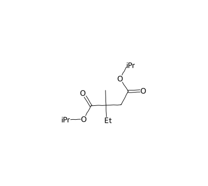 CCC(C)(CC(=O)OC(C)C)C(=O)OC(C)C